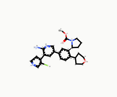 CC(C)(C)OC(=O)N1CCC[C@H]1c1cc(-c2cnc(N)c(-c3ccncc3F)c2)ccc1C1CCOCC1